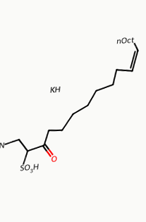 CCCCCCCC/C=C\CCCCCCCC(=O)C(CNC)S(=O)(=O)O.[KH]